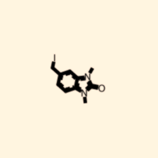 Cn1c(=O)n(C)c2cc(CI)ccc21